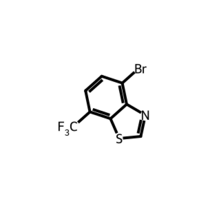 FC(F)(F)c1ccc(Br)c2ncsc12